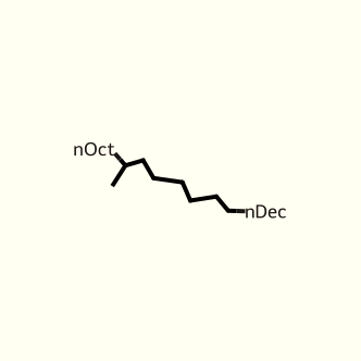 CCCCCCCCCCCCCCCCC(C)CCCCCCCC